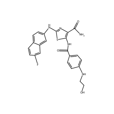 NC(=O)c1nc(Nc2ccc3ccc(F)cc3c2)sc1NC(=O)c1ccc(NCCO)cc1